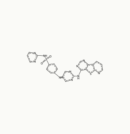 O=S(=O)(Nc1ncccn1)c1ccc(Nc2cnc(Nc3ncnc4c3sc3ncccc34)nc2)cc1